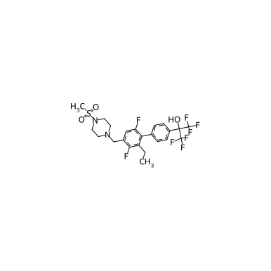 CCc1c(F)c(CN2CCN(S(C)(=O)=O)CC2)cc(F)c1-c1ccc(C(O)(C(F)(F)F)C(F)(F)F)cc1